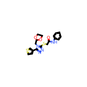 O=C(CSc1nnc(-c2ccsc2)n1CC1OCCO1)Nc1ccccc1